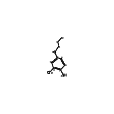 CCCOc1ccc(S)c(Cl)c1